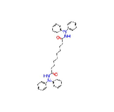 O=C(CCCCCCCCC(=O)NN(c1ccccc1)c1ccccc1)NN(c1ccccc1)c1ccccc1